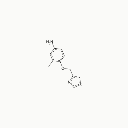 Cc1cc(N)ccc1OCc1cscn1